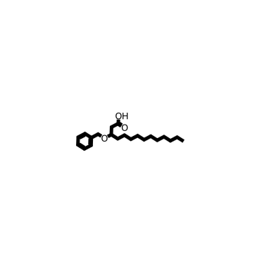 CCCCCCCCCCCC(CC(=O)O)OCc1ccccc1